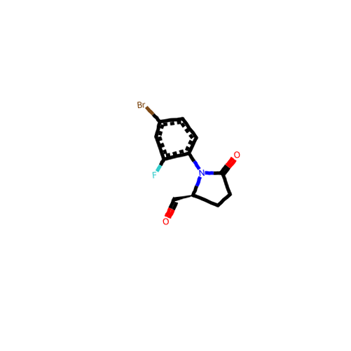 O=C[C@@H]1CCC(=O)N1c1ccc(Br)cc1F